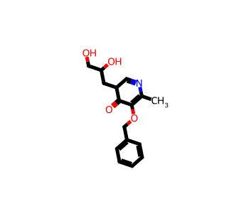 CC1=C(OCc2ccccc2)C(=O)C(CC(O)CO)C=N1